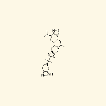 CC(CC1CCN(C(C)C)c2nccn21)N1CCn2nc(C(C)(C)N3CCc4nc[nH]c4C3)nc2C1